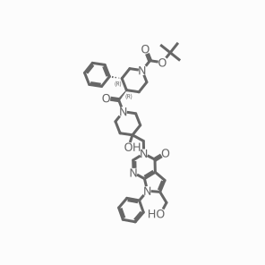 CC(C)(C)OC(=O)N1CC[C@@H](C(=O)N2CCC(O)(Cn3cnc4c(cc(CO)n4-c4ccccc4)c3=O)CC2)[C@H](c2ccccc2)C1